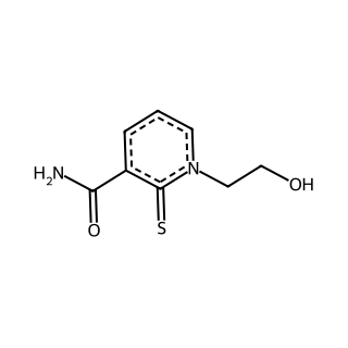 NC(=O)c1cccn(CCO)c1=S